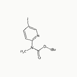 CN(C(=O)OC(C)(C)C)c1ccc(I)cn1